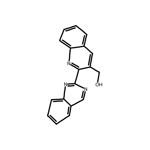 OCc1cc2ccccc2nc1-c1ncc2ccccc2n1